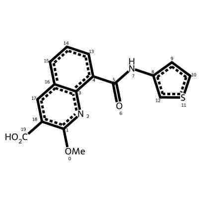 COc1nc2c(C(=O)Nc3ccsc3)cccc2cc1C(=O)O